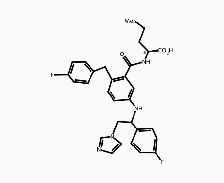 CSCC[C@H](NC(=O)c1cc(NC(Cn2ccnc2)c2ccc(F)cc2)ccc1Cc1ccc(F)cc1)C(=O)O